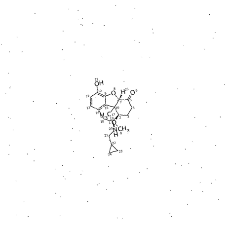 CO[C@]12CCC(=O)[C@H]3Oc4c(O)ccc(c4C31C)C[C@@H]2NCC1CC1